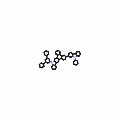 c1ccc(-c2cc(-c3ccccc3)cc(-n3c4ccccc4c4cc5c6ccc(-c7ccc8c9ccccc9n(-c9ccccc9)c8c7)cc6c6ccccc6c5cc43)c2)cc1